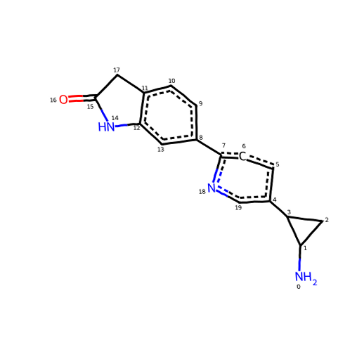 NC1CC1c1ccc(-c2ccc3c(c2)NC(=O)C3)nc1